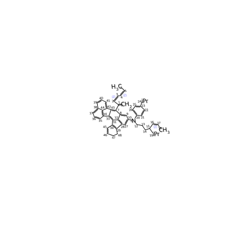 C=C(/C=C\C=C/C)c1c2cc(N(CCCC(/C=C\C)C(C)C)c3ccc(C(C)C)cc3)cc3c4c(c(c32)c2c3cccc5cccc(c12)c53)C=CCC4